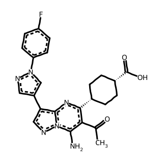 CC(=O)c1c(N)n2ncc(-c3cnn(-c4ccc(F)cc4)c3)c2nc1[C@H]1CC[C@@H](C(=O)O)CC1